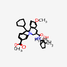 COC(=O)c1ccc2c(C3CCCCC3)c3n(c2c1)CC(C(=O)N[C@@H]1C2CCC(C)([C@@H]1O)C2(C)C)=Cc1cc(OC)ccc1-3